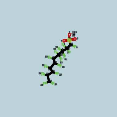 O=S(=O)([O-])C(F)C(F)(F)C(F)(F)C(F)(F)C(F)C(F)C(F)C(F)C(F)C(F)F.[Li+]